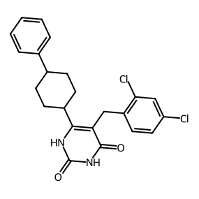 O=c1[nH]c(C2CCC(c3ccccc3)CC2)c(Cc2ccc(Cl)cc2Cl)c(=O)[nH]1